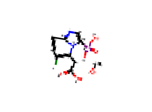 CO.O=C(O)Cc1c(Cl)ccc2ncc(P(=O)(O)O)n12